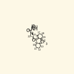 CCC(C)NC(=O)N1CC(OC(c2ccccc2)c2ccccc2C(F)(F)F)C1